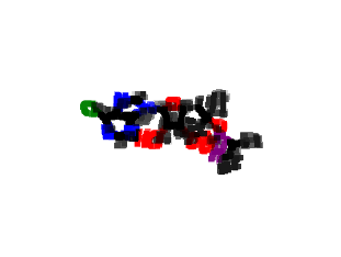 CCC(CC)[PH](=O)OC(CC)(CC)C[C@H]1OC(n2cnc3c(Cl)ncnc32)[C@H](O)[C@@H]1O